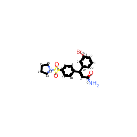 NC(=O)C=C(c1ccc(S(=O)(=O)N2CCCC2)cc1)c1cccc(Br)c1